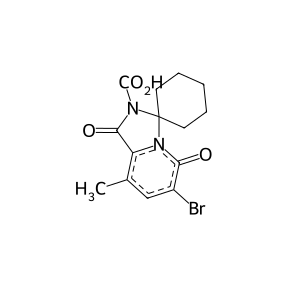 Cc1cc(Br)c(=O)n2c1C(=O)N(C(=O)O)C21CCCCC1